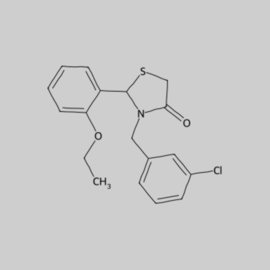 CCOc1ccccc1C1SCC(=O)N1Cc1cccc(Cl)c1